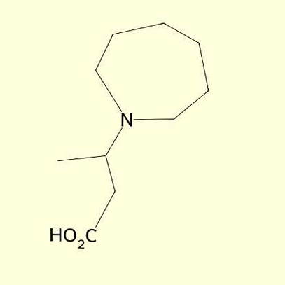 CC(CC(=O)O)N1CCCCCC1